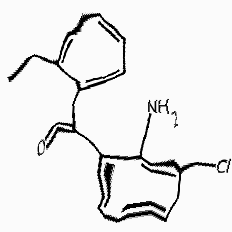 Cc1ccccc1C(=O)c1cccc(Cl)c1N